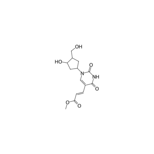 COC(=O)C=Cc1cn(C2CC(O)C(CO)C2)c(=O)[nH]c1=O